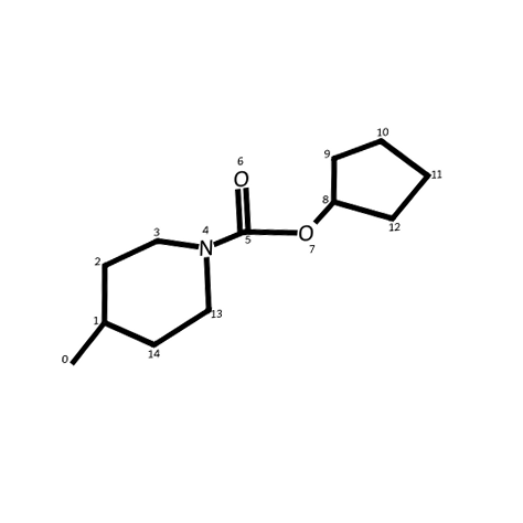 CC1CCN(C(=O)OC2CCCC2)CC1